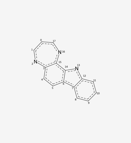 c1cnc2ccc3c4ccccc4nc3c2nc1